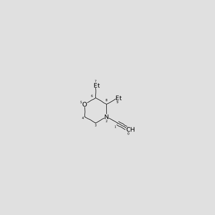 C#CN1CCOC(CC)C1CC